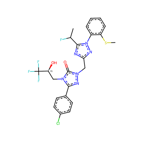 CSc1ccccc1-n1nc(Cn2nc(-c3ccc(Cl)cc3)n(C[C@H](O)C(F)(F)F)c2=O)nc1C(C)F